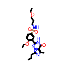 CCCc1nc(C)c2c(=O)[nH]c(-c3cc(S(=O)(=O)NCCCOCC)ccc3OCC)nn12